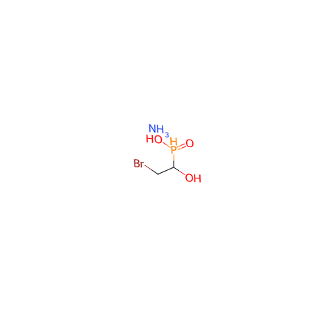 N.O=[PH](O)C(O)CBr